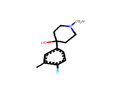 Cc1cc(C2(O)CCN(C(=O)O)CC2)ccc1F